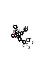 FC(F)(F)c1cc(-c2ccc3c4ccccc4n(-c4ccc(-c5ccncc5)cc4-c4nc(-c5ccccc5)nc(-c5ccccc5)n4)c3c2)cc(C(F)(F)F)c1